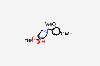 COc1ccc(CN2CC3CC(O)C(C2)N3C(=O)OC(C)(C)C)c(OC)c1